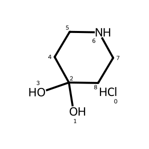 Cl.OC1(O)CCNCC1